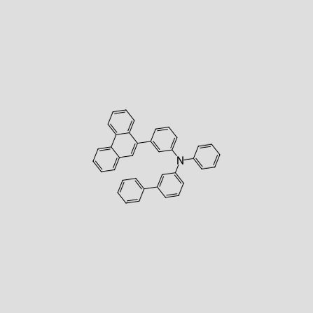 c1ccc(-c2cccc(N(c3ccccc3)c3cccc(-c4cc5ccccc5c5ccccc45)c3)c2)cc1